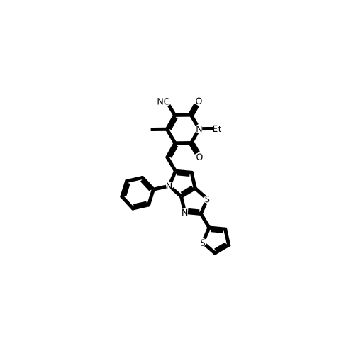 CCN1C(=O)C(C#N)=C(C)/C(=C/c2cc3sc(-c4cccs4)nc3n2-c2ccccc2)C1=O